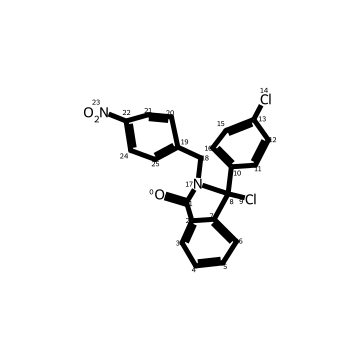 O=C1c2ccccc2C(Cl)(c2ccc(Cl)cc2)N1Cc1ccc([N+](=O)[O-])cc1